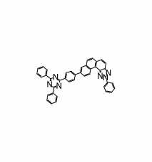 c1ccc(-c2nc(-c3ccccc3)nc(-c3ccc(-c4ccc5c(ccc6ccc7nn(-c8ccccc8)nc7c65)c4)cc3)n2)cc1